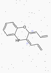 C=C/C=C1/Oc2ccccc2P/C1=C/C=C